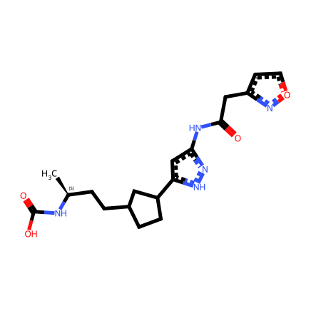 C[C@@H](CCC1CCC(c2cc(NC(=O)Cc3ccon3)n[nH]2)C1)NC(=O)O